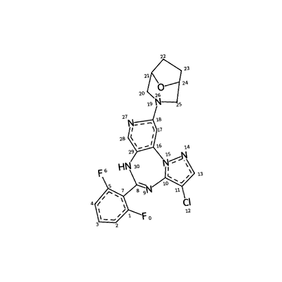 Fc1cccc(F)c1C1=Nc2c(Cl)cnn2-c2cc(N3CC4CCC(C3)O4)ncc2N1